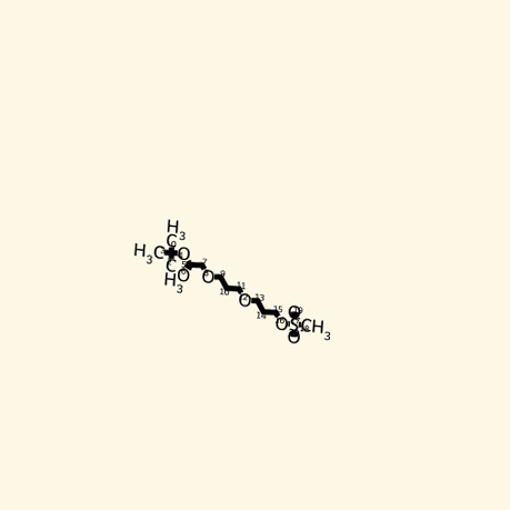 CC(C)(C)OC(=O)COCCCOCCCOS(C)(=O)=O